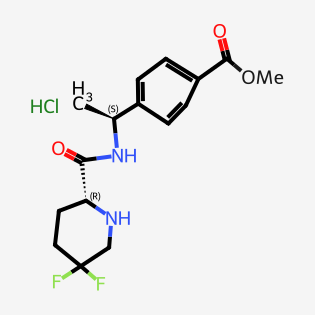 COC(=O)c1ccc([C@H](C)NC(=O)[C@H]2CCC(F)(F)CN2)cc1.Cl